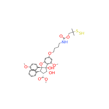 COC(=O)[C@H]1[C@@H](O)[C@@]2(O)c3c(OC)cc(OCCCCNC(=O)OCC(C)(C)SS)cc3O[C@@]2(c2ccc(OC)cc2)[C@@H]1c1ccccc1